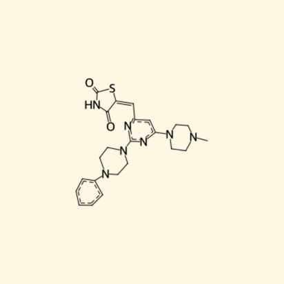 CN1CCN(c2cc(/C=C3/SC(=O)NC3=O)nc(N3CCN(c4ccccc4)CC3)n2)CC1